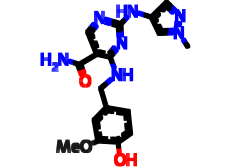 COc1cc(CNc2nc(Nc3cnn(C)c3)ncc2C(N)=O)ccc1O